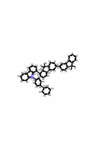 CC1(C)c2ccccc2-c2cc(-c3ccc4c(c3)-c3cccc(-c5cccc6c7ccccc7n(-c7ccc(-c8ccccc8)cc7)c56)c3C4(C)C)ccc21